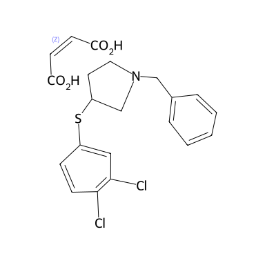 Clc1ccc(SC2CCN(Cc3ccccc3)C2)cc1Cl.O=C(O)/C=C\C(=O)O